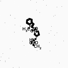 C=CS(=O)(=O)NC[C@H]1CCN(S(=O)(=O)c2cc3ccccc3n2C)C1